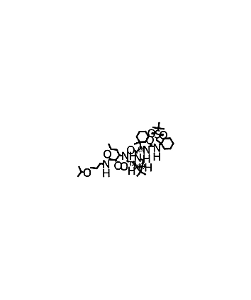 CCCC(NC(=O)[C@@H]1[C@@H]2[C@H](CN1C(=O)[C@@H](NC(=O)NC1(CS(=O)(=O)C(C)(C)C)CCCCC1)C1(C)CCCCC1)C2(C)C)C(=O)C(=O)NCCCOC(C)C